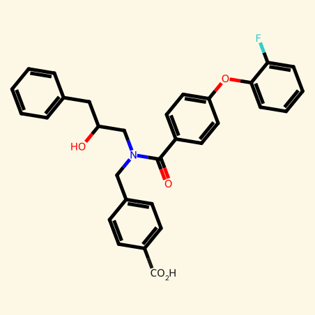 O=C(O)c1ccc(CN(CC(O)Cc2ccccc2)C(=O)c2ccc(Oc3ccccc3F)cc2)cc1